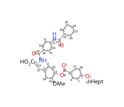 CCCCCCCOc1ccc(C(=O)Oc2ccc(CC(NC(=O)c3ccc(NC(=O)c4ccccc4)cc3)C(=O)O)cc2OC)cc1